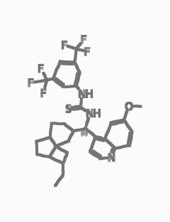 CCC1CC23CC([C@@H](NC(=S)Nc4cc(C(F)(F)F)cc(C(F)(F)F)c4)c4ccnc5ccc(OC)cc45)CCC2CCC13